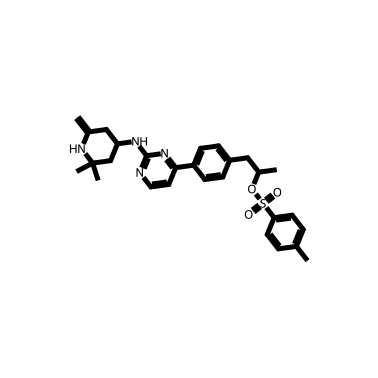 C=C1CC(Nc2nccc(-c3ccc(CC(C)OS(=O)(=O)c4ccc(C)cc4)cc3)n2)CC(C)(C)N1